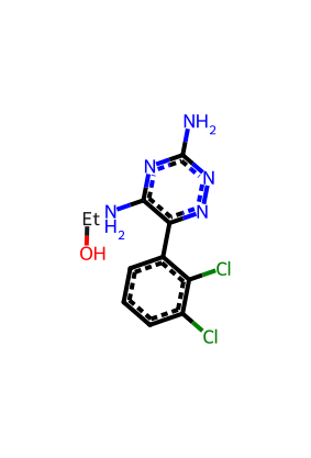 CCO.Nc1nnc(-c2cccc(Cl)c2Cl)c(N)n1